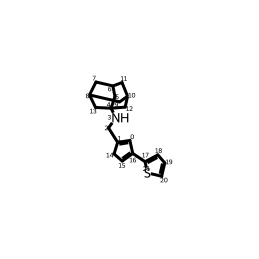 C1=C(CNC23CC4CC(CC(C4)C2)C3)CC=C1c1cccs1